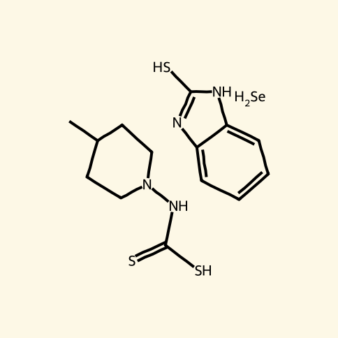 CC1CCN(NC(=S)S)CC1.Sc1nc2ccccc2[nH]1.[SeH2]